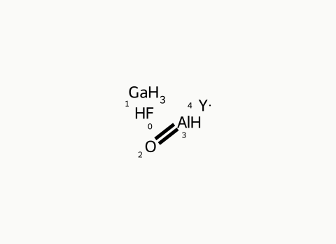 F.[GaH3].[O]=[AlH].[Y]